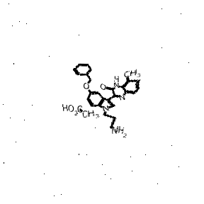 CC(=O)O.Cc1cccc2nc(-c3cn(CCCN)c4ccc(OCc5ccccc5)cc34)c(=O)[nH]c12